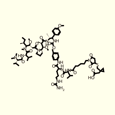 CC[C@H](C)C([C@@H](CC(=O)N1CCC[C@H]1[C@H](OC)[C@@H](C)C(=O)N[C@H](C)C(NC(=O)OCc1ccc(NC(=O)C(CCCNC(N)=O)NC(=O)[C@@H](NC(=O)CCCCCN2C(=O)CC(SCC3(CC(=O)O)CC3)C2=O)C(C)C)cc1)c1ccc(OC)cc1)OC)N(C)C(=O)[C@@H](NC(=O)[C@H](C(C)C)N(C)C)C(C)C